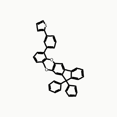 c1ccc(C2(c3ccccc3)c3ccccc3-c3cc4c(cc32)Oc2cccc(-c3cccc(-c5cccs5)c3)c2O4)cc1